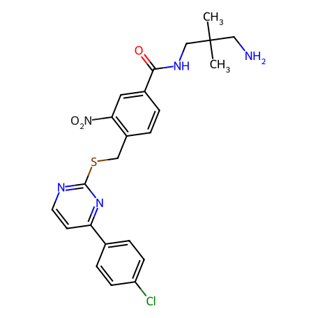 CC(C)(CN)CNC(=O)c1ccc(CSc2nccc(-c3ccc(Cl)cc3)n2)c([N+](=O)[O-])c1